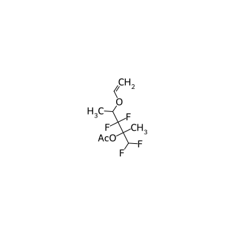 C=COC(C)C(F)(F)C(C)(OC(C)=O)C(F)F